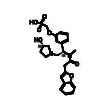 CN(C(=O)Cc1cc2ccccc2o1)[C@H](CN1CC[C@H](O)C1)c1cccc(OCS(=O)(=O)O)c1